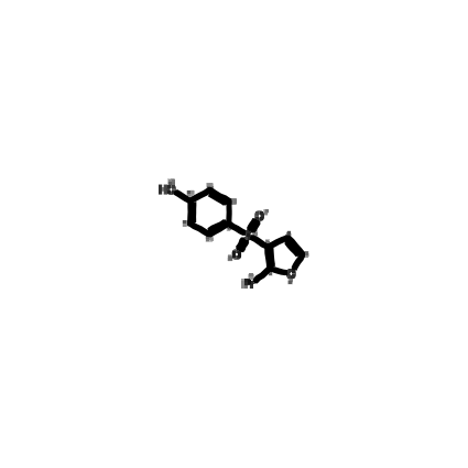 CC(C)c1occc1S(=O)(=O)c1ccc(O)cc1